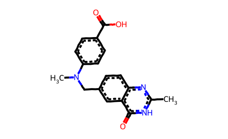 Cc1nc2ccc(CN(C)c3ccc(C(=O)O)cc3)cc2c(=O)[nH]1